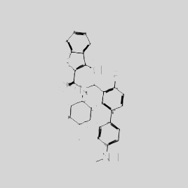 CNc1ccc(-c2ccc(F)c(CN(C(=O)c3sc4ccccc4c3Cl)[C@H]3CC[C@H](C)CC3)c2)cc1